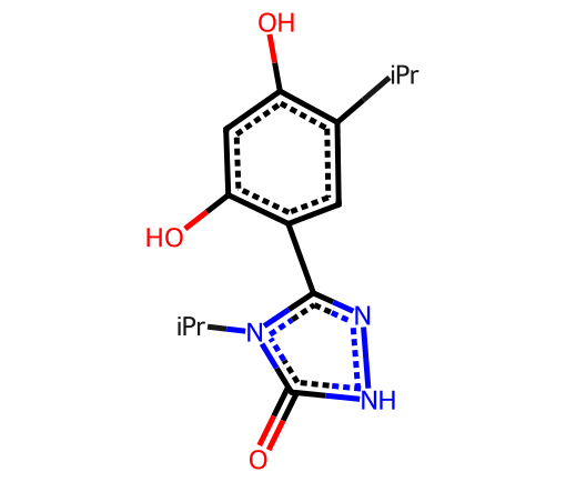 CC(C)c1cc(-c2n[nH]c(=O)n2C(C)C)c(O)cc1O